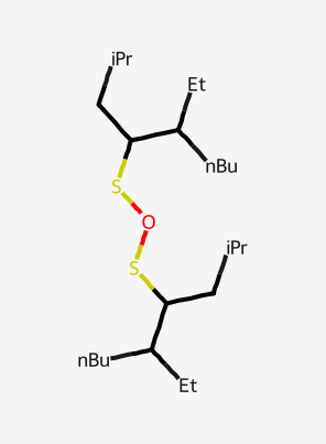 CCCCC(CC)C(CC(C)C)SOSC(CC(C)C)C(CC)CCCC